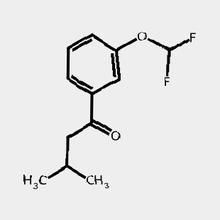 CC(C)CC(=O)c1cccc(OC(F)F)c1